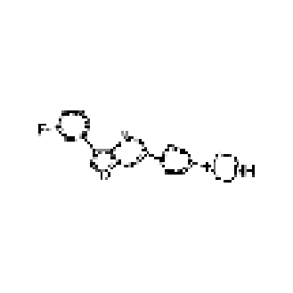 Fc1cccc(-c2coc3cc(-c4ccc(N5CCNCC5)cc4)cnc23)c1